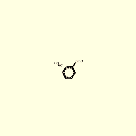 CCOC(=O)c1ccccn1.Cl.Cl